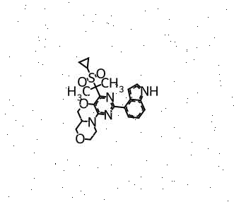 CC(C)(c1nc(-c2cccc3[nH]ccc23)nc2c1OCC1COCCN21)S(=O)(=O)C1CC1